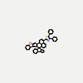 c1ccc(-c2nc(-c3ccc4c5c(cccc35)C3(c5ccccc5-c5ccccc53)c3cc5c(cc3-4)oc3ccccc35)sc2-c2ccccc2)cc1